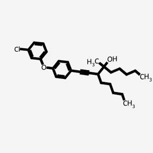 CCCCCC(C#Cc1ccc(Oc2cccc(Cl)c2)cc1)C(C)(O)CCCCC